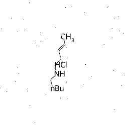 C/C=C/CCNCCCCC.Cl